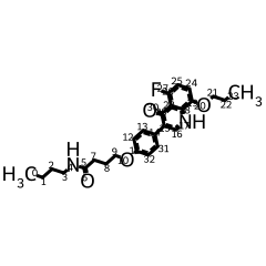 CCCCNC(=O)CCCOc1ccc(-c2c[nH]c3c(OCCC)ccc(F)c3c2=O)cc1